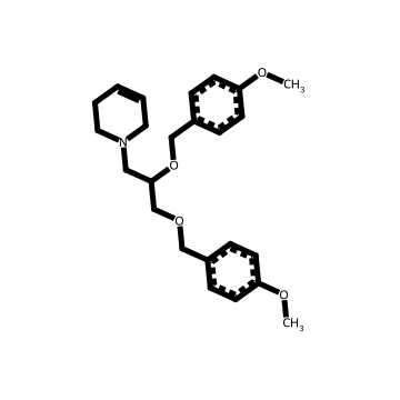 COc1ccc(COCC(CN2CC=CCC2)OCc2ccc(OC)cc2)cc1